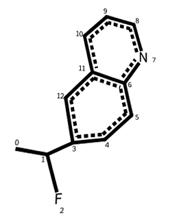 CC(F)c1ccc2ncccc2c1